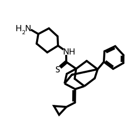 NC1CCC(NC(=S)C23CC4CC(c5ccccc5)(CC(C2)C4=CC2CC2)C3)CC1